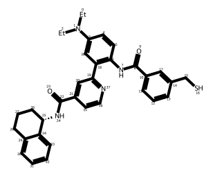 CCN(CC)c1ccc(NC(=O)c2cccc(CS)c2)c(-c2cc(C(=O)N[C@H]3CCCc4ccccc43)ccn2)c1